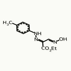 CCOC(=O)C(C=NO)=NNc1ccc(C)cc1